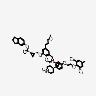 COCCCc1cc(CN(C(=O)[C@H]2CNCC[C@@H]2c2ccc(OCCOc3c(Cl)cc(C)cc3Cl)cc2)C2CC2)cc(OC[C@@H]2C[C@H]2C(=O)Oc2ccc3c(c2)CCC3)c1